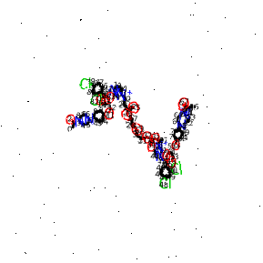 CC(=O)N1CCN(c2ccc(OC[C@@H]3CO[C@@](Cn4cc[n+](CCC(=O)OCCOCCOC(=O)OC(C)[n+]5ccn(C[C@@]6(c7ccc(Cl)cc7Cl)OC[C@@H](COc7ccc(N8CCN(C(C)=O)CC8)cc7)O6)c5)c4)(c4ccc(Cl)cc4Cl)O3)cc2)CC1